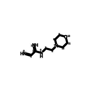 N=CC(=N)NCCN1CCOCC1